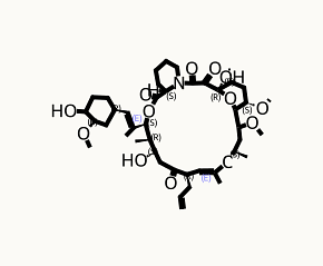 C=CC[C@@H]1/C=C(\C)C[C@H](C)CC(OC)C2O[C@@](O)(C(=O)C(=O)N3CCCC[C@H]3C(=O)O[C@H](/C(C)=C/[C@@H]3CCC(O)[C@H](OC)C3)[C@H](C)[C@@H](O)CC1=O)[C@H](C)C[C@@H]2OC